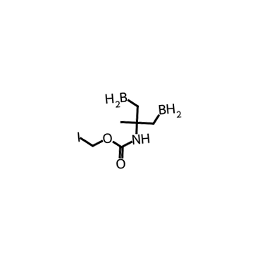 BCC(C)(CB)NC(=O)OCI